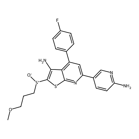 COCCC[S+]([O-])c1sc2nc(-c3ccc(N)nc3)cc(-c3ccc(F)cc3)c2c1N